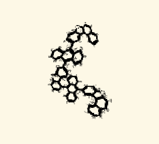 c1ccc2c(c1)ccc1oc3ccc(-c4c5ccccc5c(-c5ccc6c(c5)sc5cccc(-c7c8ccccc8c(-c8ccc9oc%10ccc%11ccccc%11c%10c9c8)c8ccccc78)c56)c5ccccc45)cc3c12